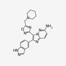 Nc1ccc2nc(-c3ccc4[nH]ncc4c3)c(-c3noc(CN4CCCCC4)n3)n2n1